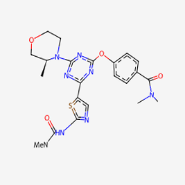 CNC(=O)Nc1ncc(-c2nc(Oc3ccc(C(=O)N(C)C)cc3)nc(N3CCOC[C@@H]3C)n2)s1